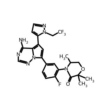 CC1COC(C)(C)C(=O)N1c1cc(-c2cc(-c3ccnn3CC(F)(F)F)c3c(N)ncnn23)ccc1F